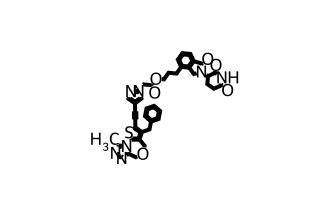 Cc1nnc2n1-c1sc(C#Cc3cnn(CC(=O)OCCCc4cccc5c4CN(C4CCC(=O)NC4=O)C5=O)c3)c(Cc3ccccc3)c1COC2